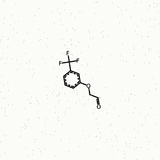 O=[C]COc1cccc(C(F)(F)F)c1